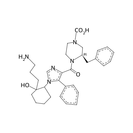 NCCCC1(O)CCCCC1n1cnc(C(=O)N2CCN(C(=O)O)C[C@H]2Cc2ccccc2)c1-c1ccccc1